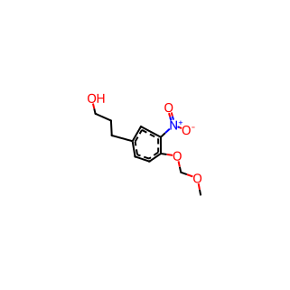 COCOc1ccc(CCCO)cc1[N+](=O)[O-]